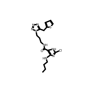 CCCCNc1nc(Cl)[nH]c1C(=O)NCCCn1nnnc1Cc1cccs1